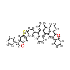 c1ccc(-c2coc3cc4c(cc23)sc2ccc(-c3c5ccccc5c(-c5cc6c7ccccc7oc6c6ccccc56)c5ccccc35)cc24)cc1